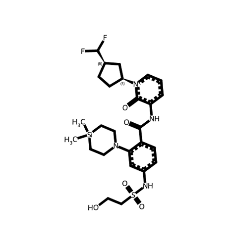 C[Si]1(C)CCN(c2cc(NS(=O)(=O)CCO)ccc2C(=O)Nc2cccn([C@H]3CC[C@@H](C(F)F)C3)c2=O)CC1